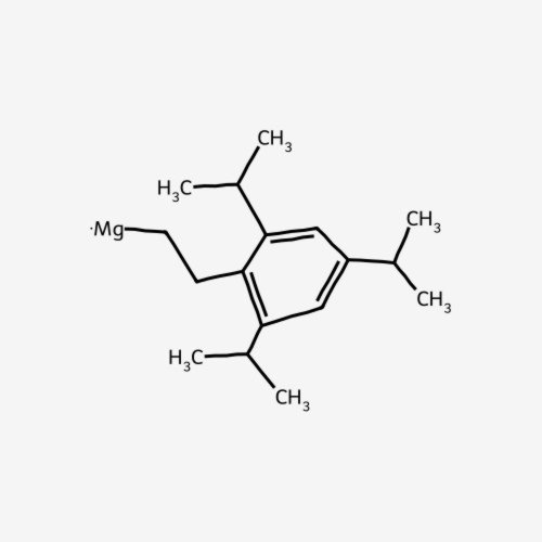 CC(C)c1cc(C(C)C)c(C[CH2][Mg])c(C(C)C)c1